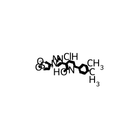 Cc1ccc(-c2ccc(-c3cn([C@@H]4C=CS(=O)(=O)C4)nn3)c(O)n2)cc1C.Cl